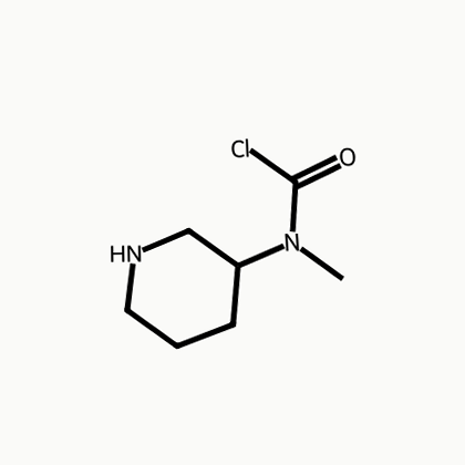 CN(C(=O)Cl)C1CCCNC1